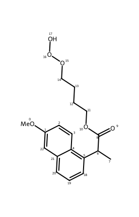 COc1ccc2c(C(C)C(=O)OCCCCOOO)cccc2c1